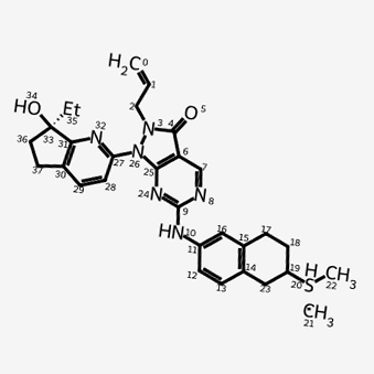 C=CCn1c(=O)c2cnc(Nc3ccc4c(c3)CCC([SH](C)C)C4)nc2n1-c1ccc2c(n1)[C@@](O)(CC)CC2